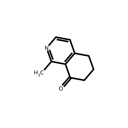 Cc1nccc2c1C(=O)CCC2